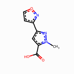 Cn1nc(-c2ccon2)cc1C(=O)O